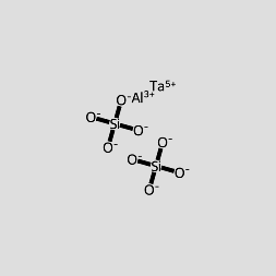 [Al+3].[O-][Si]([O-])([O-])[O-].[O-][Si]([O-])([O-])[O-].[Ta+5]